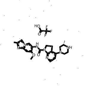 COc1cc2nc(C)cn2cc1NC(=O)N1CCc2c(N3CCN[C@@H](C)C3)ccnc21.O=C(O)C(F)(F)F